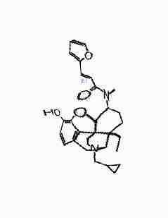 CCC12CCC(N(C)C(=O)/C=C/c3ccco3)C3Oc4c(O)ccc5c4C31CCN(CC1CC1)C2C5